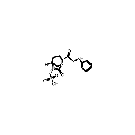 O=C(NNc1ccccc1)[C@@H]1CC[C@@H]2CN1C(=O)N2OS(=O)(=O)O